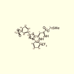 CSCOC(=O)C(=N)/C=C(\Nc1ccccc1C(F)(F)F)c1nnc(-c2cccc(S(C)(=O)=O)c2)s1